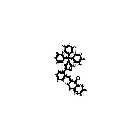 O=C1/C(=C/c2ccccc2-c2cn(C(c3ccccc3)(c3ccccc3)c3ccccc3)cn2)CCc2nccnc21